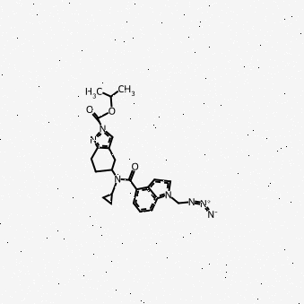 CC(C)OC(=O)n1cc2c(n1)CCC(N(C(=O)c1cccc3c1ccn3CN=[N+]=[N-])C1CC1)C2